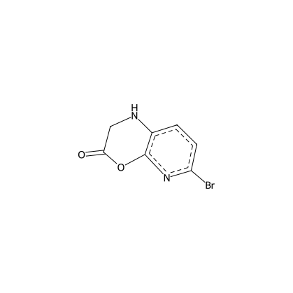 O=C1CNc2ccc(Br)nc2O1